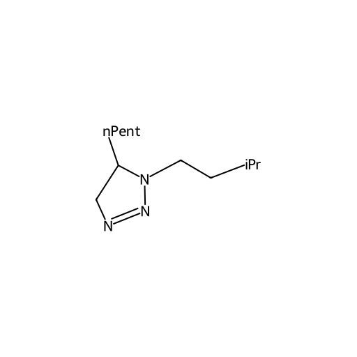 CCCCCC1CN=NN1CCC(C)C